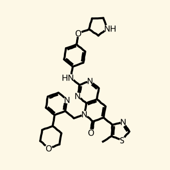 Cc1scnc1-c1cc2cnc(Nc3ccc(OC4CCNC4)cc3)nc2n(Cc2ncccc2C2CCOCC2)c1=O